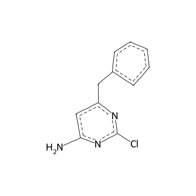 Nc1cc(Cc2ccccc2)nc(Cl)n1